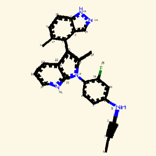 CC#CNc1ccc(-n2c(C)c(-c3c(C)ccc4[nH]ncc34)c3cccnc32)c(F)c1